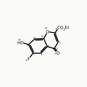 CCOC(=O)c1cc(=O)c2cc(F)c(O)cc2o1